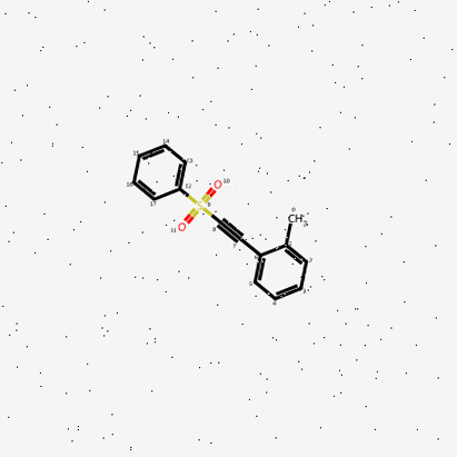 Cc1ccccc1C#CS(=O)(=O)c1ccccc1